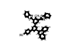 Cc1c(-c2nc3ccccc3s2)cc(-c2cc(-c3ccc(C#N)cc3)cc(-c3cc4ccccc4c4ccccc34)c2)cc1-c1nc2ccccc2s1